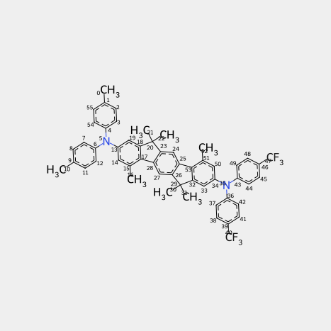 Cc1ccc(N(c2ccc(C)cc2)c2cc(C)c3c(c2)C(C)(C)c2cc4c(cc2-3)C(C)(C)c2cc(N(c3ccc(C(F)(F)F)cc3)c3ccc(C(F)(F)F)cc3)cc(C)c2-4)cc1